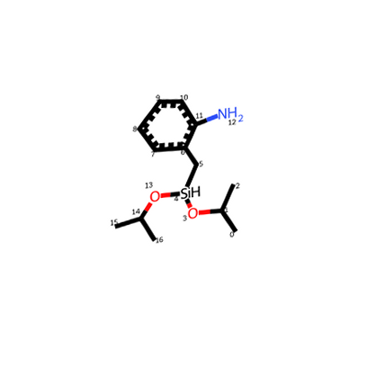 CC(C)O[SiH](Cc1ccccc1N)OC(C)C